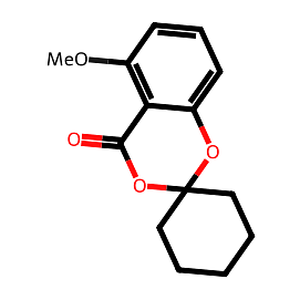 COc1cccc2c1C(=O)OC1(CCCCC1)O2